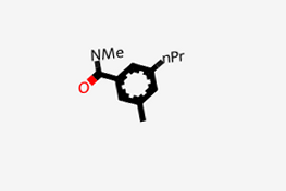 CCCc1cc(C)cc(C(=O)NC)c1